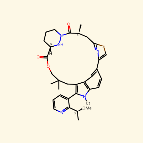 CCn1c(-c2cccnc2[C@H](C)OC)c2c3cc(ccc31)-c1csc(n1)C[C@H](C)C(=O)N1CCC[C@H](N1)C(=O)OCC(C)(C)C2